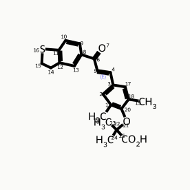 Cc1cc(/C=C/C(=O)c2ccc3c(c2)CCS3)cc(C)c1OC(C)(C)C(=O)O